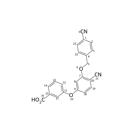 N#Cc1ccc(COc2cc(Oc3cccc(C(=O)O)c3)ccc2C#N)cc1